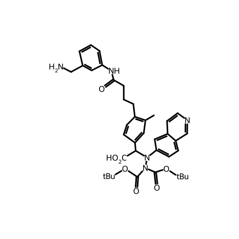 Cc1cc(C(C(=O)O)N(c2ccc3cnccc3c2)N(C(=O)OC(C)(C)C)C(=O)OC(C)(C)C)ccc1CCCC(=O)Nc1cccc(CN)c1